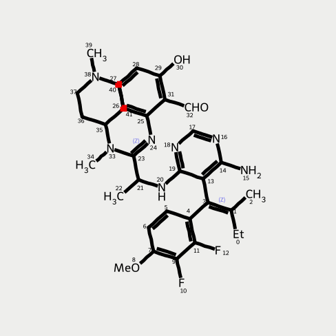 CC/C(C)=C(\c1ccc(OC)c(F)c1F)c1c(N)ncnc1NC(C)/C(=N/c1cccc(O)c1C=O)N(C)C1CCN(C)CC1